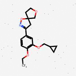 FC(F)(F)COc1ccc(C2=NOC3(CCOC3)C2)cc1OCC1CC1